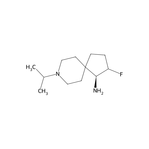 CC(C)N1CCC2(CCC(F)[C@H]2N)CC1